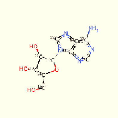 N[13c]1n[13cH]n[13c]2[13c]1n[13cH]n2[13C@@H]1O[13C@H]([13CH2]O)[13C@@H](O)[13C@H]1O